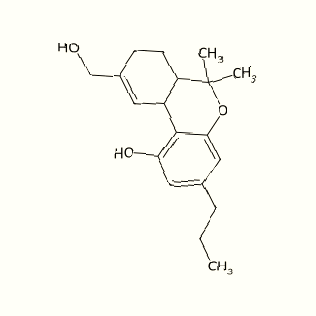 CCCc1cc(O)c2c(c1)OC(C)(C)C1CCC(CO)=CC21